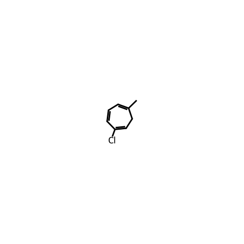 CC1=CC=CC(Cl)=CC1